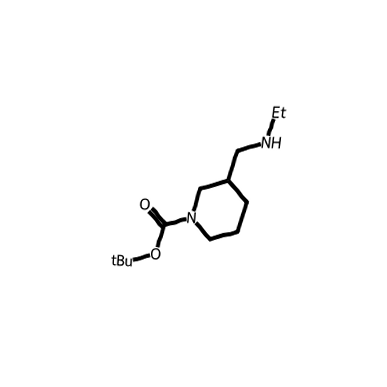 CCNCC1CCCN(C(=O)OC(C)(C)C)C1